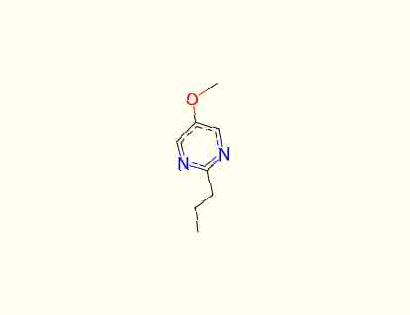 CCCc1ncc(OC)cn1